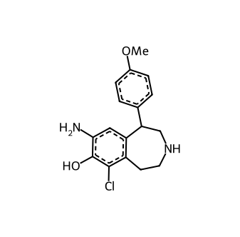 COc1ccc(C2CNCCc3c2cc(N)c(O)c3Cl)cc1